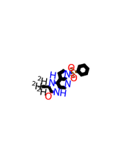 [2H]C([2H])([2H])C1Nc2c(cnc3c2ccn3S(=O)(=O)c2ccccc2)NC1=O